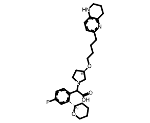 O=C(O)C(c1ccc(F)cc1[C@@H]1CCCCO1)N1CC[C@@H](OCCCCc2ccc3c(n2)CCCN3)C1